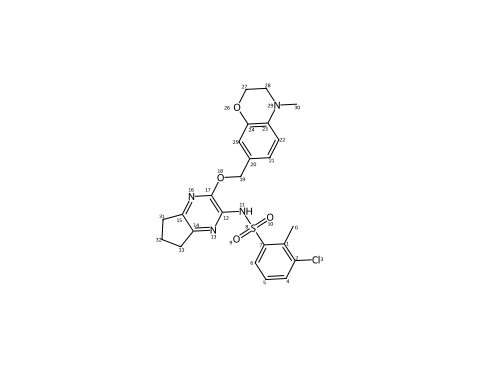 Cc1c(Cl)cccc1S(=O)(=O)Nc1nc2c(nc1OCc1ccc3c(c1)OCCN3C)CCC2